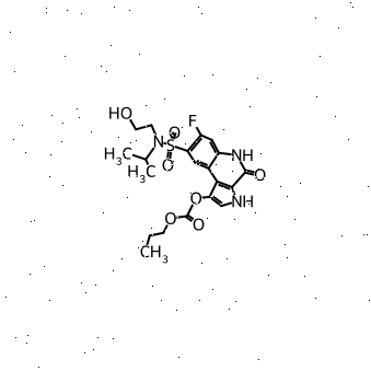 CCCOC(=O)Oc1c[nH]c2c(=O)[nH]c3cc(F)c(S(=O)(=O)N(CCO)C(C)C)cc3c12